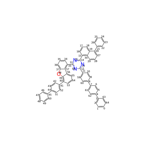 c1ccc(-c2ccc(-c3ccc(-c4nc(-c5cccc6c(-c7ccccc7)cccc56)nc(-c5cccc6oc7c(-c8ccc(-c9ccccc9)cc8)cccc7c56)n4)cc3)cc2)cc1